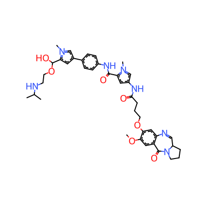 COc1cc2c(cc1OCCCC(=O)Nc1cc(C(=O)Nc3ccc(-c4cc(C(O)OCCNC(C)C)n(C)c4)cc3)n(C)c1)N=CC1CCCN1C2=O